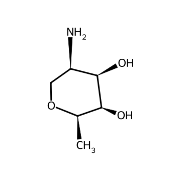 C[C@H]1OC[C@@H](N)[C@@H](O)[C@H]1O